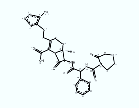 Cn1nnnc1SCC1=C(C(=O)O)N2C(=O)C(NC(=O)C(NC(=O)N3CCSCC3=O)c3ccccc3)[C@@H]2SC1